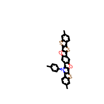 Cc1ccc(-n2c3c4cc5oc6c(sc7c8ccc(C)cc8sc67)c5cc4oc3c3sc4cc(C)ccc4c32)cc1